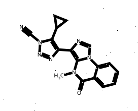 Cn1c(=O)c2ccccc2n2cnc(-c3nnn(C#N)c3C3CC3)c12